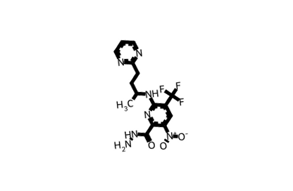 CC(CCc1ncccn1)Nc1nc(C(=O)NN)c([N+](=O)[O-])cc1C(F)(F)F